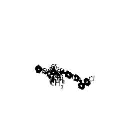 CN(C)CCC[C@H](CSc1ccccc1)Nc1ccc(S(=O)(=O)NC(=O)c2ccc(N3CCN(CC4=C(c5ccc(Cl)cc5)CCCC4)CC3)cc2)cc1S(=O)(=O)C(F)(F)F